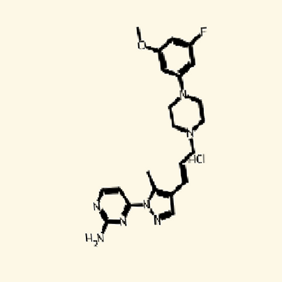 COc1cc(F)cc(N2CCN(CC=Cc3cnn(-c4ccnc(N)n4)c3C)CC2)c1.Cl